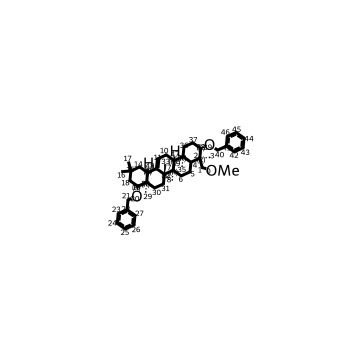 COC[C@@]1(C)C2CC[C@]3(C)[C@H](CC=C4[C@H]5CC(C)(C)C[C@@H](OCc6ccccc6)[C@]5(C)CC[C@]43C)[C@@]2(C)CC[C@@H]1OCc1ccccc1